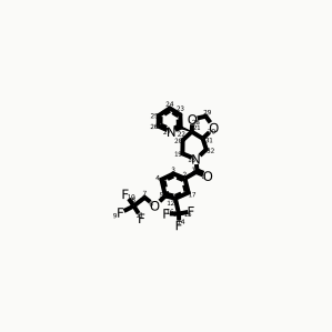 O=C(c1ccc(OCC(F)(F)F)c(C(F)(F)F)c1)N1CC[C@]2(c3ccccn3)OCOC2C1